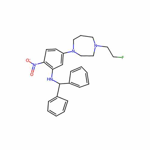 O=[N+]([O-])c1ccc(N2CCCN(CCF)CC2)cc1NC(c1ccccc1)c1ccccc1